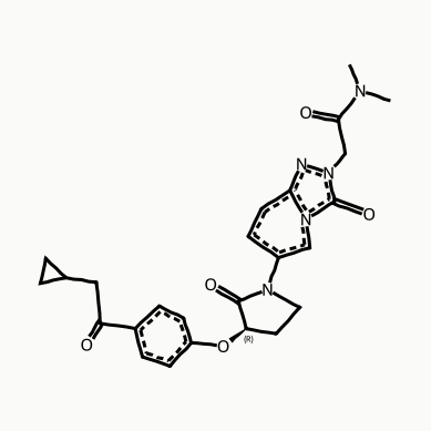 CN(C)C(=O)Cn1nc2ccc(N3CC[C@@H](Oc4ccc(C(=O)CC5CC5)cc4)C3=O)cn2c1=O